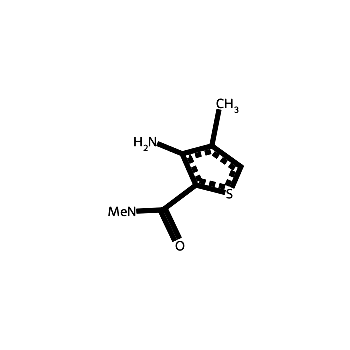 CNC(=O)c1scc(C)c1N